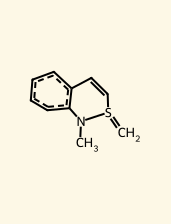 C=S1C=Cc2ccccc2N1C